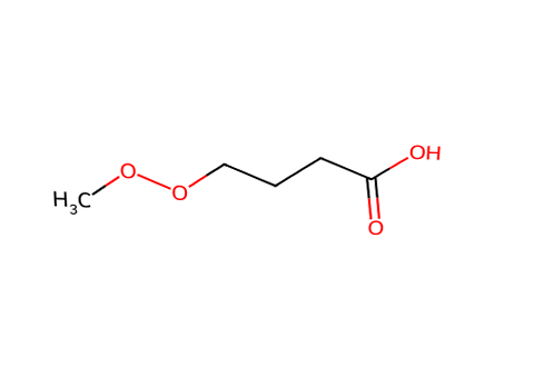 COOCCCC(=O)O